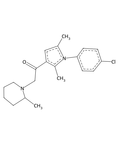 Cc1cc(C(=O)CN2CCCCC2C)c(C)n1-c1ccc(Cl)cc1